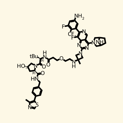 Cc1ncsc1-c1ccc(CNC(=O)[C@H]2C[C@H](O)CN2C(=O)[C@H](NC(=O)CCOCCNC2(C)CN(c3nc(N4CC5CCC(C4)N5)c4cnc(-c5cc(N)cc(F)c5C(F)(F)F)c(F)c4n3)C2)C(C)(C)C)cc1